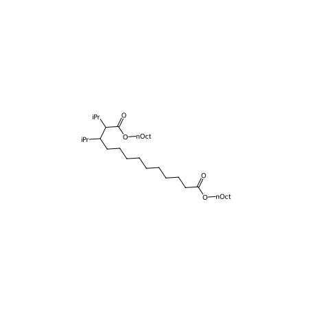 CCCCCCCCOC(=O)CCCCCCCCCC(C(C)C)C(C(=O)OCCCCCCCC)C(C)C